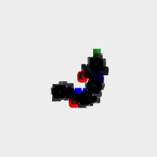 CNC(=O)c1c2cc(-c3cc(C(=O)NC(C)(C)c4ccccc4)ccc3C)ccc2nn1-c1ccc(F)cc1